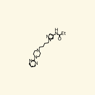 CCC(=O)Nc1cnn(CCCCN2CCN(c3ncccn3)CC2)c1